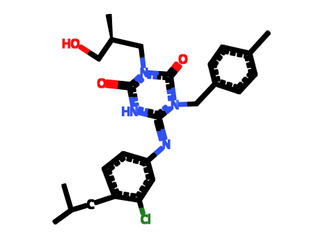 Cc1ccc(Cn2c(=O)n(C[C@H](C)CO)c(=O)[nH]/c2=N\c2ccc(CC(C)C)c(Cl)c2)cc1